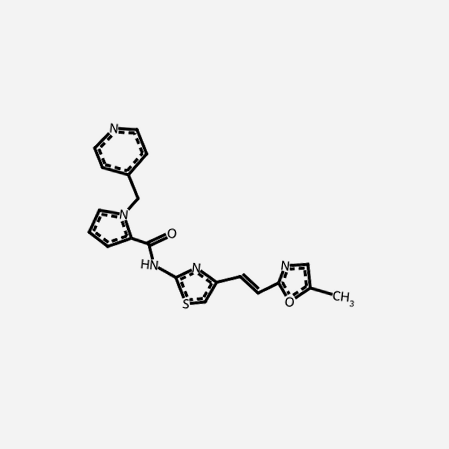 Cc1cnc(C=Cc2csc(NC(=O)c3cccn3Cc3ccncc3)n2)o1